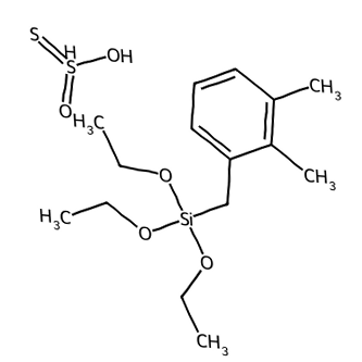 CCO[Si](Cc1cccc(C)c1C)(OCC)OCC.O=[SH](O)=S